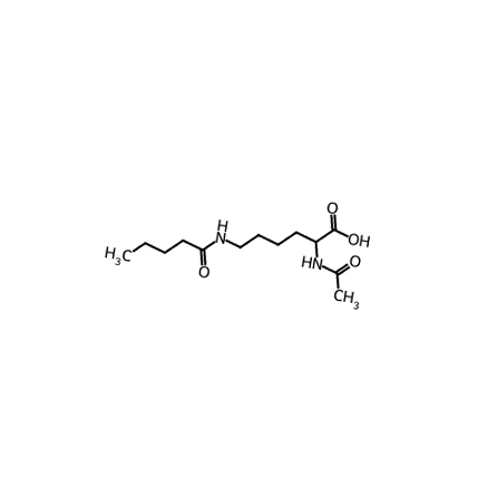 CCCCC(=O)NCCCCC(NC(C)=O)C(=O)O